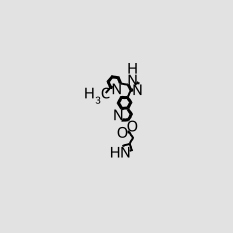 Cc1cccc(-c2[nH]cnc2-c2ccc3ncc(OC(=O)CC4CNC4)cc3c2)n1